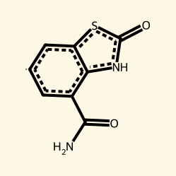 NC(=O)c1c[c]cc2sc(=O)[nH]c12